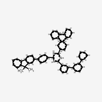 CC1(C)c2ccccc2-c2ccc(-c3ccc(-c4nc(-c5cccc(-c6cccc(-c7ccccc7)c6)c5)nc(-c5ccc6c7ccccc7c7ccccc7c6c5)n4)cc3)cc21